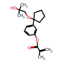 C=C(C)C(=O)Oc1cccc(C2(OCC(C)(C)O)CCCC2)c1